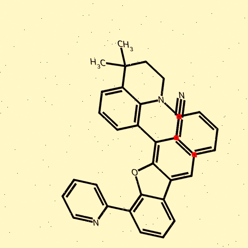 CC1(C)CCN(c2ccccc2)c2c(-c3c(C#N)ccc4c3oc3c(-c5ccccn5)cccc34)cccc21